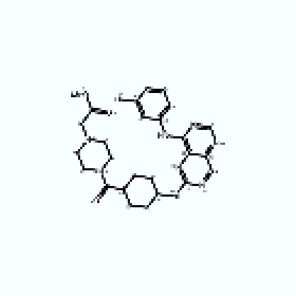 COC(=O)CN1CCN(C(=O)C2CCC(Nc3ncc4ncnc(Nc5cccc(Cl)c5)c4n3)CC2)CC1